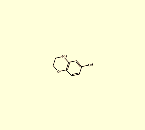 Oc1ccc2c(c1)NC[CH]O2